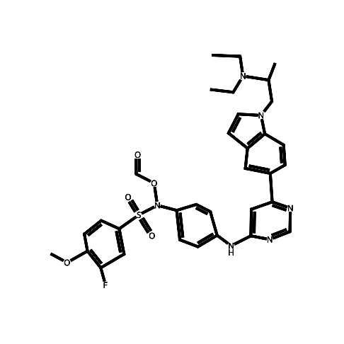 CCN(CC)C(C)Cn1ccc2cc(-c3cc(Nc4ccc(N(OC=O)S(=O)(=O)c5ccc(OC)c(F)c5)cc4)ncn3)ccc21